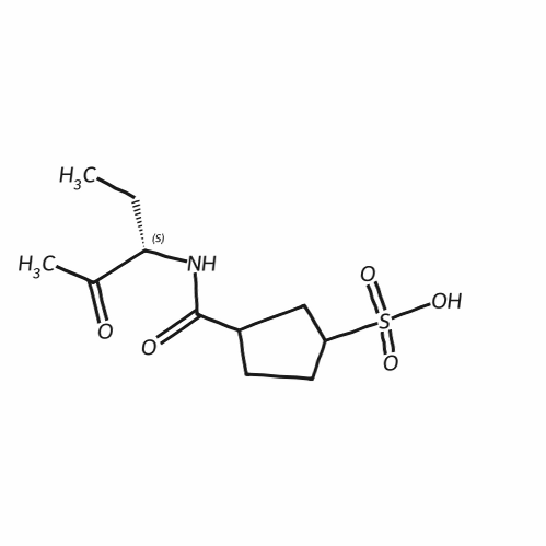 CC[C@H](NC(=O)C1CCC(S(=O)(=O)O)C1)C(C)=O